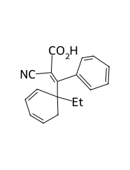 CCC1(C(=C(C#N)C(=O)O)c2ccccc2)C=CC=CC1